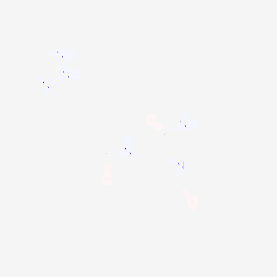 COc1ccc(NC(=O)c2ccc(CN3C=CNN3)c3ccccc23)c(C(=O)NCC2CCCCC2)n1